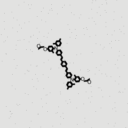 Cc1ccc(N(c2ccc(/C=C/c3ccc(/C=C/c4ccc(N(c5ccc(C)cc5C)c5ccc(OCC6CO6)cc5C)cc4)cc3)cc2)c2ccc(OCC3CO3)cc2C)c(C)c1